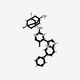 Cc1cnc(N[C@]23C[C@@]4(C)C[C@](C)(C[C@](O)(C4)C2)C3)nc1-c1cnc2ccc(-c3ccccc3)cn12